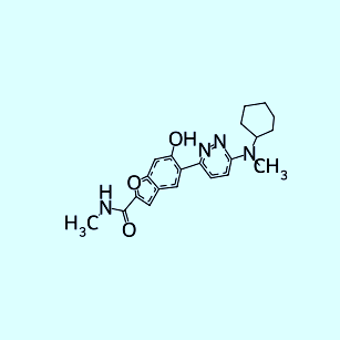 CNC(=O)c1cc2cc(-c3ccc(N(C)C4CCCCC4)nn3)c(O)cc2o1